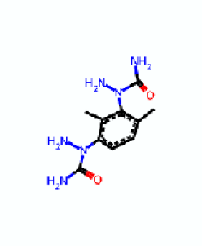 Cc1ccc(N(N)C(N)=O)c(C)c1N(N)C(N)=O